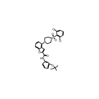 CC(F)(F)Oc1cccc(NC(=O)c2cc3c(N4CCN(S(=O)(=O)c5c(Cl)cccc5Cl)CC4)cccc3o2)c1